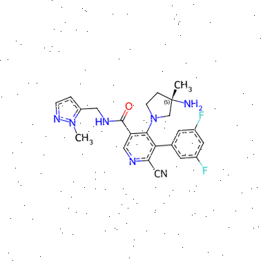 Cn1nccc1CNC(=O)c1cnc(C#N)c(-c2cc(F)cc(F)c2)c1N1CC[C@](C)(N)C1